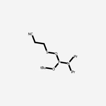 CC(C)N(C(C)C)P(OSCCC#N)OC(C)(C)C